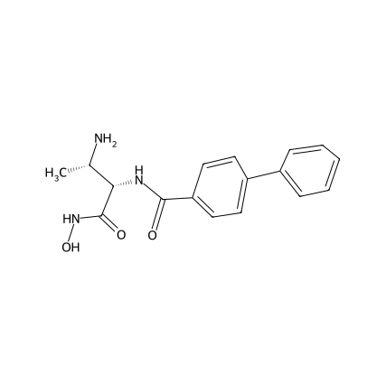 C[C@H](N)[C@H](NC(=O)c1ccc(-c2ccccc2)cc1)C(=O)NO